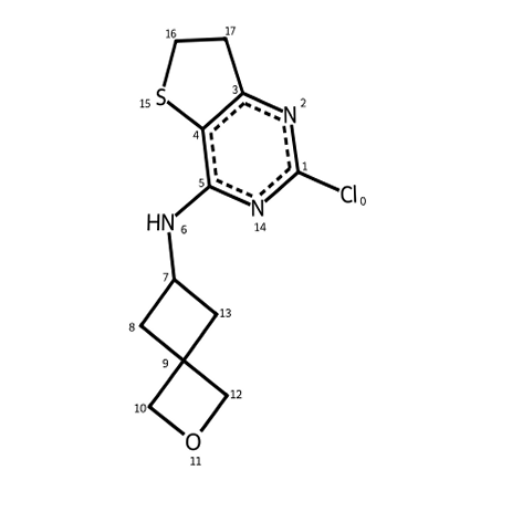 Clc1nc2c(c(NC3CC4(COC4)C3)n1)SCC2